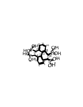 OP(O)Cc1cccc(CP(O)O)c1-c1c(CP(O)O)cccc1CP(O)O